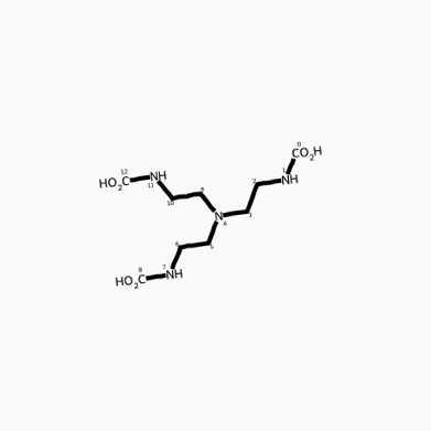 O=C(O)NCCN(CCNC(=O)O)CCNC(=O)O